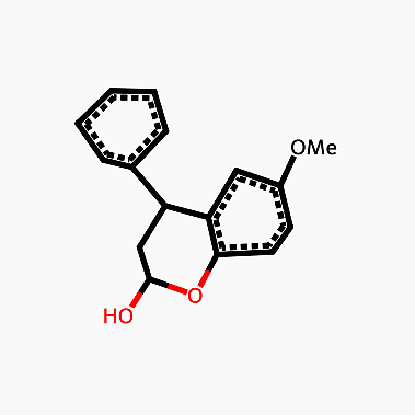 COc1ccc2c(c1)C(c1ccccc1)CC(O)O2